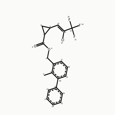 Cc1c(COC(=O)C2CC2C=C(Cl)C(F)(F)F)cccc1-c1ccccc1